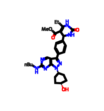 CCCCNc1ncc2c(-c3ccc(C4NC(=O)NC(CC)=C4C(=O)OC)cc3)nn([C@H]3CC[C@@H](O)CC3)c2n1